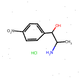 CC(N)C(O)c1ccc([N+](=O)[O-])cc1.Cl